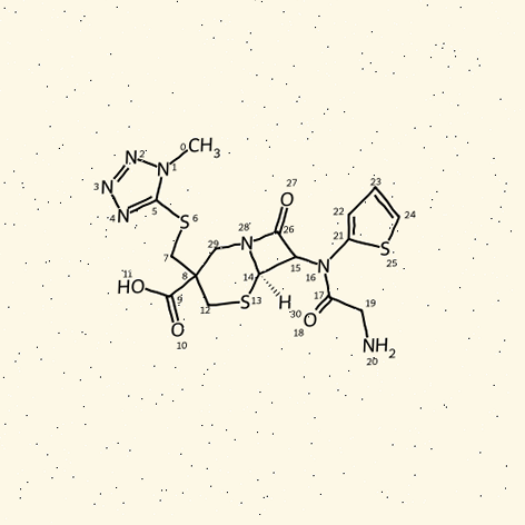 Cn1nnnc1SCC1(C(=O)O)CS[C@@H]2C(N(C(=O)CN)c3cccs3)C(=O)N2C1